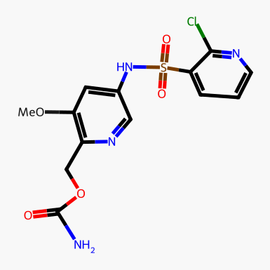 COc1cc(NS(=O)(=O)c2cccnc2Cl)cnc1COC(N)=O